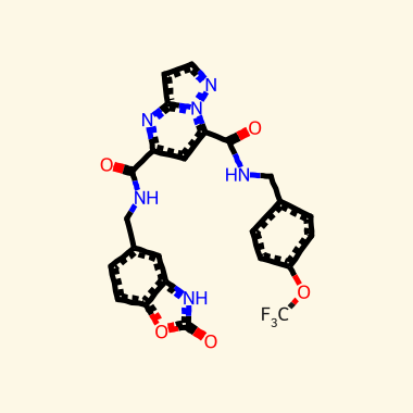 O=C(NCc1ccc2oc(=O)[nH]c2c1)c1cc(C(=O)NCc2ccc(OC(F)(F)F)cc2)n2nccc2n1